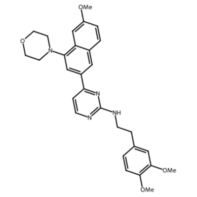 COc1ccc2cc(-c3ccnc(NCCc4ccc(OC)c(OC)c4)n3)cc(N3CCOCC3)c2c1